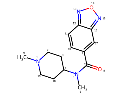 CN1CCC(N(C)C(=O)c2ccc3nonc3c2)CC1